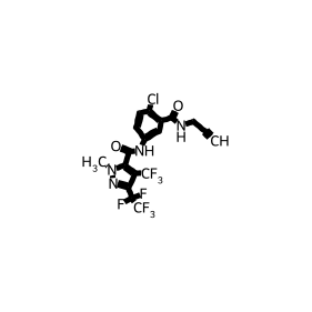 C#CCNC(=O)c1cc(NC(=O)c2c(C(F)(F)F)c(C(F)(F)C(F)(F)F)nn2C)ccc1Cl